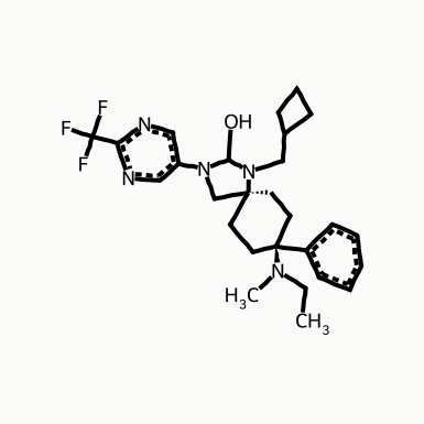 CCN(C)[C@]1(c2ccccc2)CC[C@]2(CC1)CN(c1cnc(C(F)(F)F)nc1)C(O)N2CC1CCC1